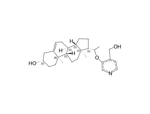 CC(Oc1cnccc1CO)[C@H]1CC[C@H]2[C@@H]3CC=C4C[C@@H](O)CC[C@]4(C)[C@H]3CC[C@]12C